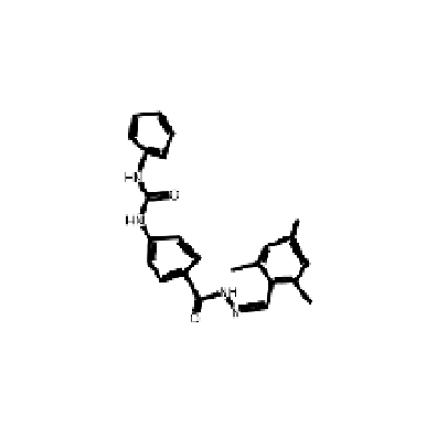 Cc1cc(C)c(/C=N\NC(=O)c2ccc(NC(=O)Nc3ccccc3)cc2)c(C)c1